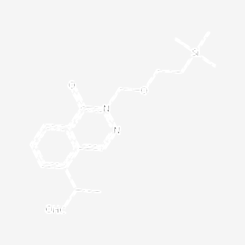 CC(C=O)c1cccc2c(=O)n(COCC[Si](C)(C)C)ncc12